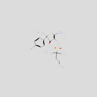 BC(B)(CCC)S(=O)(=O)OC1=C(N)O[C@@](B)(c2ccc(Cl)cc2)C1=O